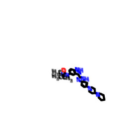 CC(C)(C)C(=O)Nc1ccc2[nH]nc(-c3nc4ccc(N5CCC(N6CCCCC6)CC5)cc4[nH]3)c2c1